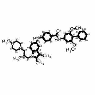 COc1cc(NC(=O)c2ccc(Nc3ccc4c(c3)c(C)c(C)n4C[C@H](C)CN3CCN(C)CC3)cc2)cc(OC)c1-c1ccccc1